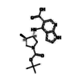 C[C@@H]1CN(C(=O)OC(C)(C)C)C[C@H]1Nc1c(C(=O)O)cnc2[nH]ccc12